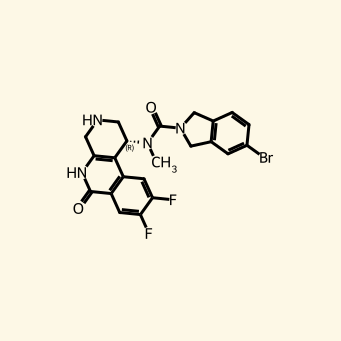 CN(C(=O)N1Cc2ccc(Br)cc2C1)[C@H]1CNCc2[nH]c(=O)c3cc(F)c(F)cc3c21